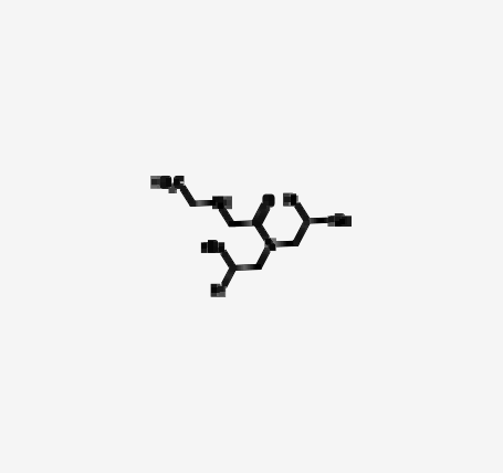 CCCCC(CC)CN(CC(CC)CCCC)C(=O)CNCC(=O)O